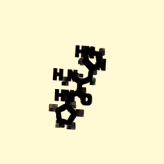 NC(Cc1c[nH]cn1)C(=O)NC1CCCC1